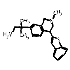 CN1Cc2cc(C(C)(C)CN)ccc2C(c2cc3ccccc3s2)C1